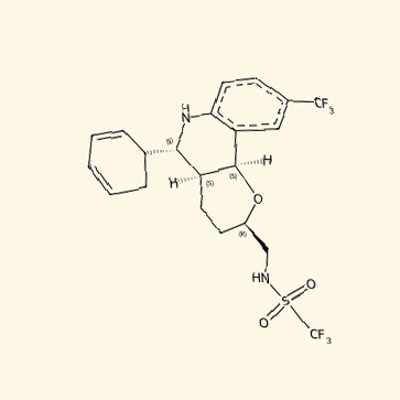 O=S(=O)(NC[C@H]1CC[C@@H]2[C@H](O1)c1cc(C(F)(F)F)ccc1N[C@H]2C1C=CC=CC1)C(F)(F)F